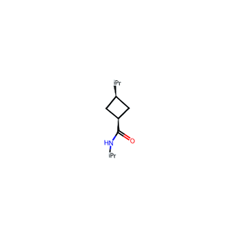 CC(C)NC(=O)[C@H]1C[C@@H](C(C)C)C1